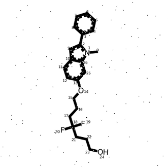 Cn1c(-c2ccccc2)cc2ccc(OCCCC(F)(F)CCCO)cc21